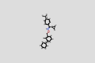 Cc1c(CO/N=C(/c2ccc(C(C)C)cc2)C2CC2)cccc1-c1ccccc1